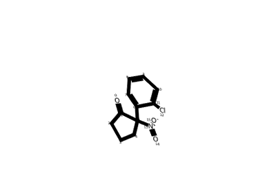 O=C1CCCC1(c1ccccc1Cl)[N+](=O)[O-]